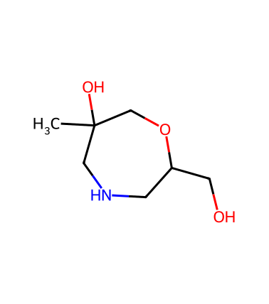 CC1(O)CNCC(CO)OC1